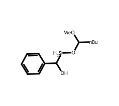 CCCCC(OC)O[SiH2]C(O)c1ccccc1